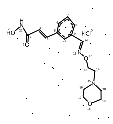 Cl.O=C(/C=C/c1cccc(C=NOCCN2CCOCC2)c1)NO